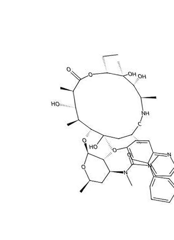 CC[C@H]1OC(=O)[C@H](C)[C@@H](O)[C@H](C)[C@@H](O[C@@H]2O[C@H](C)C[C@H](N(C)C(=O)N(C)c3ccccc3)[C@H]2Oc2ccc3ncccc3c2)[C@](C)(O)C[C@@H](C)CN[C@H](C)[C@@H](O)[C@]1(C)O